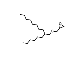 CCCCCCCCC(CCCCCC)COCC1CO1